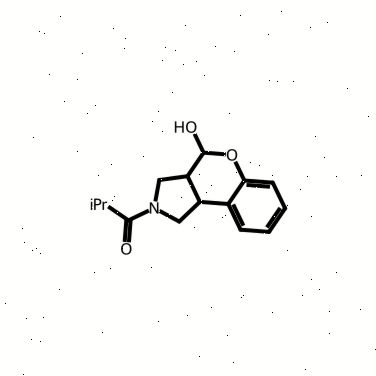 CC(C)C(=O)N1CC2c3ccccc3OC(O)C2C1